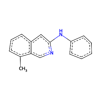 Cc1cccc2cc(Nc3ccccc3)ncc12